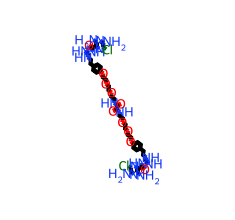 N=C(NCCc1ccc(OCCOCCOCCNC(=O)C(=O)NCCOCCOCCOc2ccc(CCNC(=N)NC(=O)c3nc(Cl)c(N)nc3N)cc2)cc1)NC(=O)c1nc(Cl)c(N)nc1N